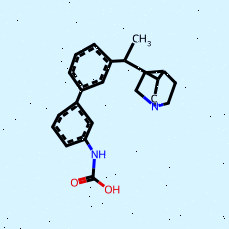 CC(c1cccc(-c2cccc(NC(=O)O)c2)c1)C1CN2CCC1CC2